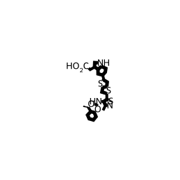 Cc1nsc(-c2cc3sc(-c4ccc5[nH]cc(CC(=O)O)c5c4)cc3s2)c1NC(=O)O[C@H](C)c1ccccc1